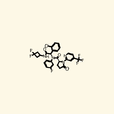 O=C(NC1CC(F)(F)C1)[C@@H](c1ccccc1Cl)N(C(=O)[C@@H]1CCC(=O)N1c1cc(C(F)(F)F)ccn1)c1cccc(F)c1